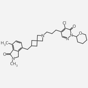 Cc1ccc(CC2CC3(C2)CN(CCCc2cnn(C4CCCCO4)c(=O)c2Cl)C3)c2c1C(=O)N(C)C2